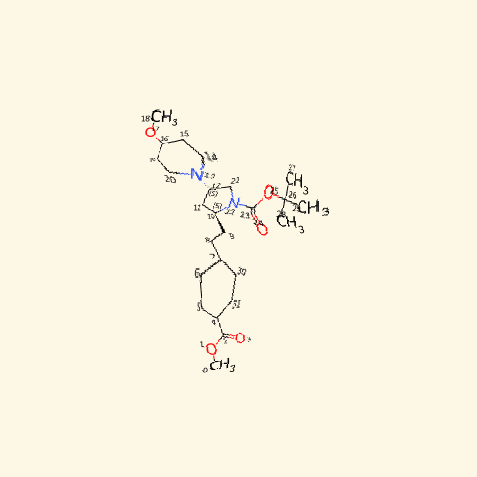 COC(=O)C1CCC(CC[C@H]2C[C@H](N3CCC(OC)CC3)CN2C(=O)OC(C)(C)C)CC1